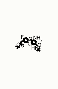 CC(C)(C)NC(=O)c1ccc(Oc2cc(F)c(CC(=O)OC(C)(C)C)cc2Cl)c(N)c1